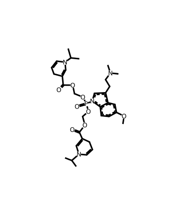 COc1ccc2c(c1)c(CCN(C)C)cn2P(=O)(OCOC(=O)C1=CN(C(C)C)C=CC1)OCOC(=O)C1=CN(C(C)C)C=CC1